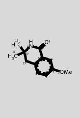 COc1ccc2c(c1)C(=O)NC(C)(C)C2